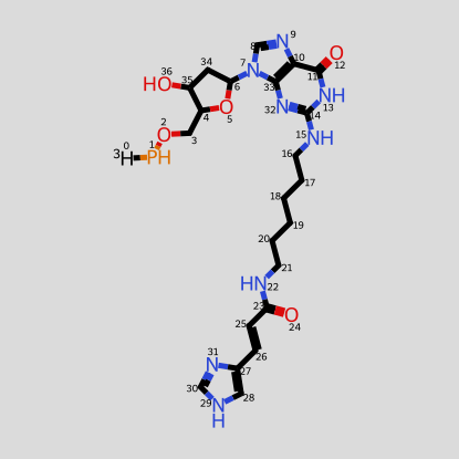 [3H]POCC1OC(n2cnc3c(=O)[nH]c(NCCCCCCNC(=O)/C=C/c4c[nH]cn4)nc32)CC1O